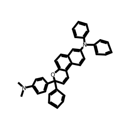 CN(C)c1ccc(C2(c3ccccc3)C=Cc3c(ccc4cc(N(c5ccccc5)c5ccccc5)ccc34)O2)cc1